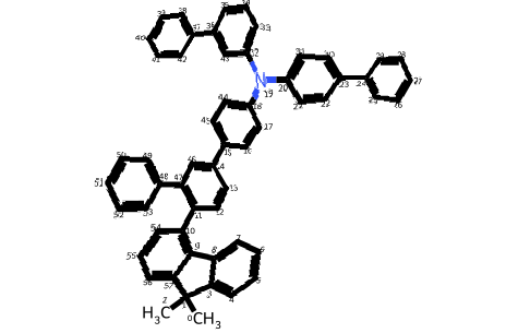 CC1(C)c2ccccc2-c2c(-c3ccc(-c4ccc(N(c5ccc(-c6ccccc6)cc5)c5cccc(-c6ccccc6)c5)cc4)cc3-c3ccccc3)cccc21